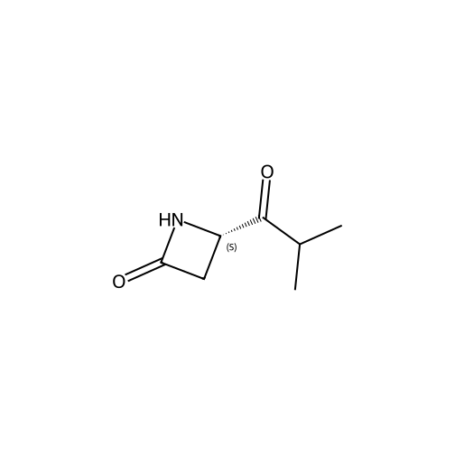 CC(C)C(=O)[C@@H]1CC(=O)N1